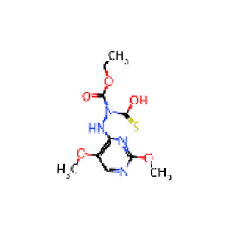 CCOC(=O)N(Nc1nc(OC)ncc1OC)C(O)=S